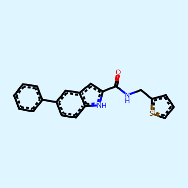 O=C(NCc1cccs1)c1cc2cc(-c3ccccc3)ccc2[nH]1